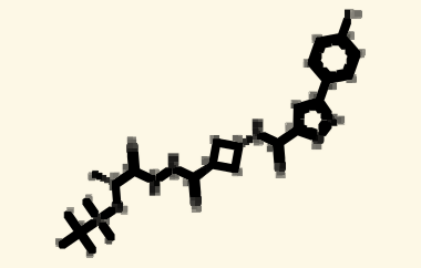 C[C@@H](O[Si](C)(C)C(C)(C)C)C(=O)NNC(=O)[C@H]1C[C@H](NC(=O)c2cc(-c3ccc(F)cc3)no2)C1